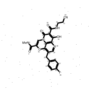 CNC(=O)C1=Cn2c(=O)c(C(=O)NCCC#N)c(O)c3ncc(Cc4ccc(F)cc4)c(c32)O1